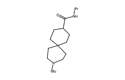 CC(C)NC(=O)C1CCC2(CC1)CCN(C(C)(C)C)CC2